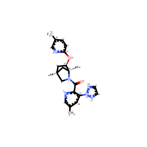 Cc1cnc(C(=O)N2C[C@H]3C[C@@H](Oc4ccc(C(F)(F)F)cn4)[C@@H]2C3)c(-n2nccn2)c1